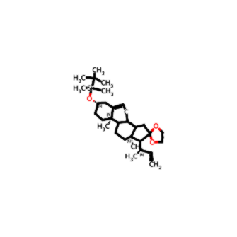 C=C[C@@H](C)C1C2(CC3C4CC=C5C[C@@H](O[Si](C)(C)C(C)(C)C)CC[C@]5(C)C4CC[C@@]31C)OCCO2